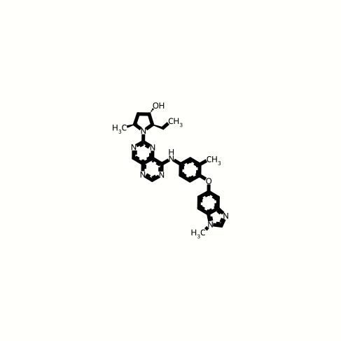 CC[C@@H]1[C@@H](O)C[C@H](C)N1c1ncc2ncnc(Nc3ccc(Oc4ccc5c(c4)ncn5C)c(C)c3)c2n1